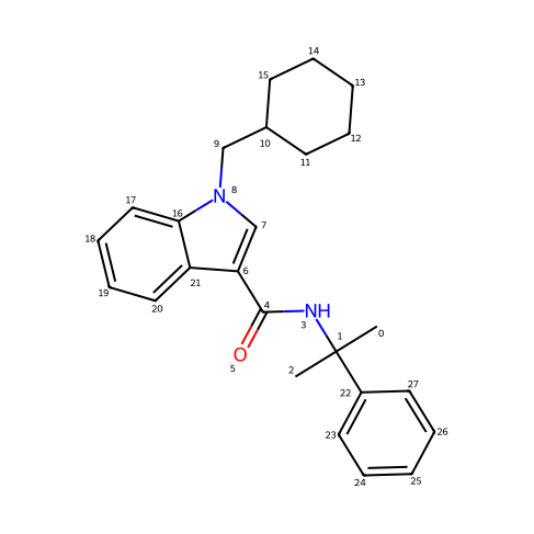 CC(C)(NC(=O)c1cn(CC2CCCCC2)c2ccccc12)c1ccccc1